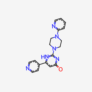 O=c1cc(-c2ccncc2)[nH]c(N2CCN(c3ccccn3)CC2)n1